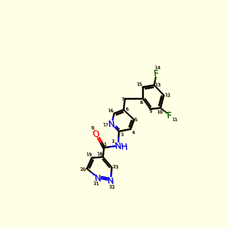 O=C(Nc1ccc(Cc2cc(F)cc(F)c2)cn1)c1ccnnc1